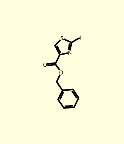 O=C(OCc1ccccc1)c1csc(I)n1